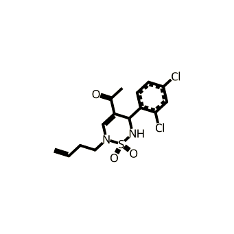 C=CCCN1C=C(C(C)=O)C(c2ccc(Cl)cc2Cl)NS1(=O)=O